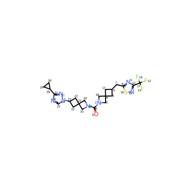 O=C(N1CC2(CC(Cc3nc(C(F)(F)F)ns3)C2)C1)N1CC2(CC(n3cnc(C4CC4)n3)C2)C1